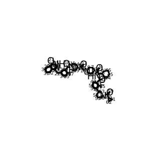 O=C(N[C@@H](C(=O)N1CCN(CC(=O)N2CCN(C(=O)c3cc(Cc4n[nH]c(=O)c5ccccc45)ccc3F)CC2)CC1)C1CCCCC1)c1cccc(C2CCCN(C(=O)C3CC3)C2)c1F